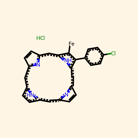 Cl.Clc1ccc(-c2[c]([Fe])c3cc4nc(cc5ccc(cc6nc(cc2[nH]3)C=C6)[nH]5)C=C4)cc1